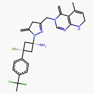 C=C1C2=C(N=CN1CC1=NN([C@]3(N)C[C@](S)(c4ccc(C(C)(F)F)cc4)C3)C(=C)C1)NCC=C2C